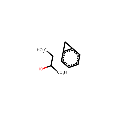 O=C(O)CC(O)C(=O)O.c1ccc2c(c1)C2